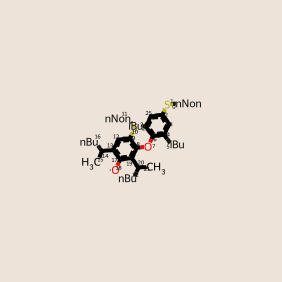 CCCCCCCCCSc1cc(C(C)CC)c(Oc2c(SCCCCCCCCC)cc(C(C)CCCC)c([O])c2C(C)CCCC)c(C(C)CC)c1